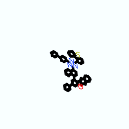 c1ccc(-c2ccc(-c3nc(-c4ccc(-c5cc(-c6ccccc6)cc6oc7cc8ccccc8cc7c56)c5ccccc45)nc(-c4cccc5sc6ccccc6c45)n3)cc2)cc1